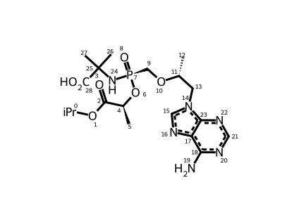 CC(C)OC(=O)[C@H](C)O[P@](=O)(CO[C@H](C)Cn1cnc2c(N)ncnc21)NC(C)(C)C(=O)O